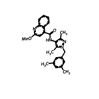 COc1cc(C(=O)Nc2c(C)nn(Cc3cc(C)cc(C)c3)c2C)c2ccccc2n1